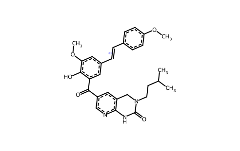 COc1ccc(/C=C/c2cc(OC)c(O)c(C(=O)c3cnc4c(c3)CN(CCC(C)C)C(=O)N4)c2)cc1